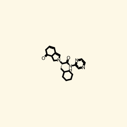 O=C1CC=CC2=CN([C@@H](CC3CCCCC3)C(=O)Nc3cnccn3)CC12